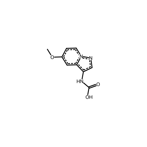 COc1ccn2ncc(NC(=O)O)c2c1